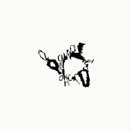 C[C@@H]1C(=O)N[C@H](Cc2ccc(Cl)cc2)C(=O)NCCCc2ccccc2OCCN[C@@H](C2CC2)C(=O)N1C